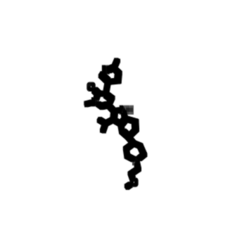 COCCN1CCC(c2ccc3[nH]c(-c4cc(-c5ccc(C)nc5)c(=O)n(C)c4)c(C(C)C)c3c2)CC1